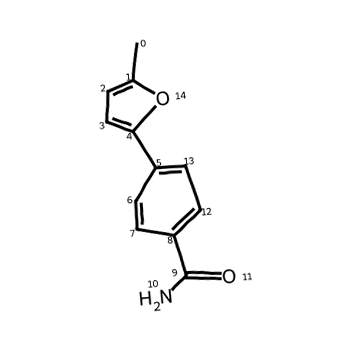 Cc1ccc(-c2ccc(C(N)=O)cc2)o1